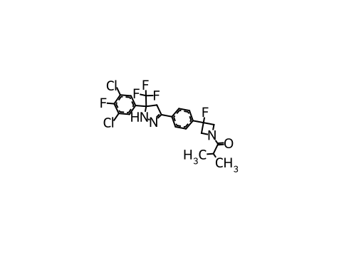 CC(C)C(=O)N1CC(F)(c2ccc(C3=NNC(c4cc(Cl)c(F)c(Cl)c4)(C(F)(F)F)C3)cc2)C1